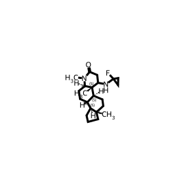 CN1C(=O)CC(NC2(F)CC2)[C@]2(C)[C@H]3CC[C@]4(C)CCC[C@H]4[C@@H]3CC[C@@H]12